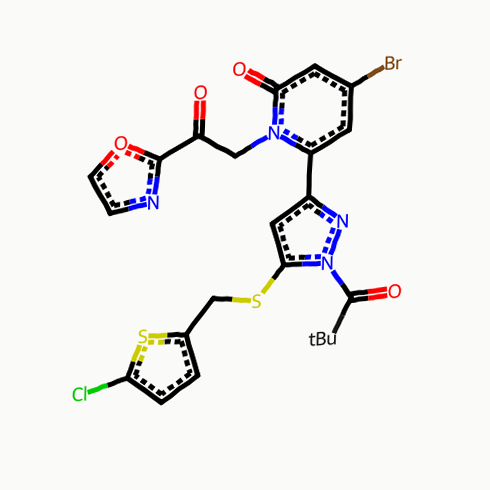 CC(C)(C)C(=O)n1nc(-c2cc(Br)cc(=O)n2CC(=O)c2ncco2)cc1SCc1ccc(Cl)s1